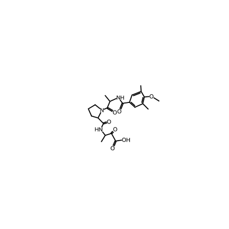 COc1c(C)cc(C(=O)NC(C)C(=O)N2CCCC2C(=O)NC(C)C(=O)C(=O)O)cc1C